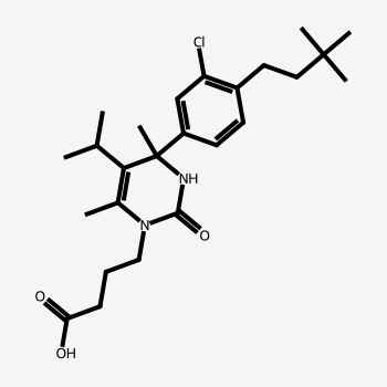 CC1=C(C(C)C)C(C)(c2ccc(CCC(C)(C)C)c(Cl)c2)NC(=O)N1CCCC(=O)O